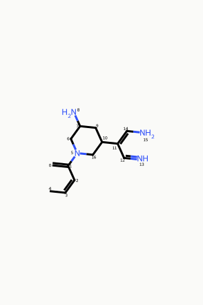 C=C(/C=C\C)N1CC(N)CC(/C(C=N)=C/N)C1